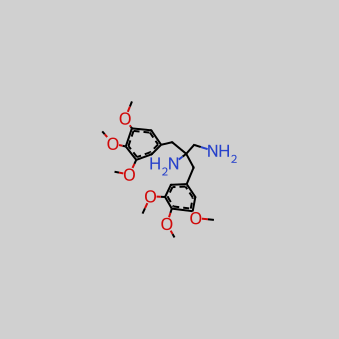 COc1cc(CC(N)(CN)Cc2cc(OC)c(OC)c(OC)c2)cc(OC)c1OC